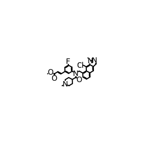 COC(=O)/C=C/c1cc(F)cc(N(Cc2cccc3cc4cnn(C)c4c(Cl)c23)C(=O)C2CCN(C)CC2)c1